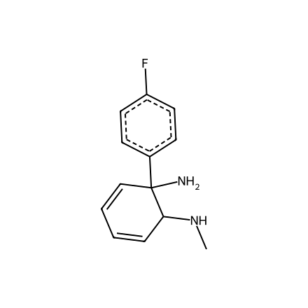 CNC1C=CC=CC1(N)c1ccc(F)cc1